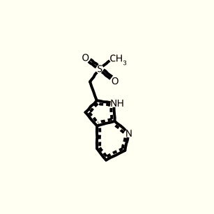 CS(=O)(=O)Cc1cc2cccnc2[nH]1